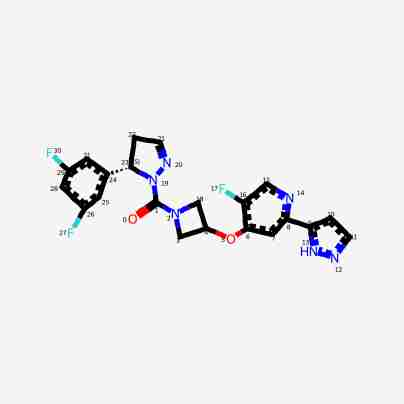 O=C(N1CC(Oc2cc(-c3ccn[nH]3)ncc2F)C1)N1N=CC[C@H]1c1cc(F)cc(F)c1